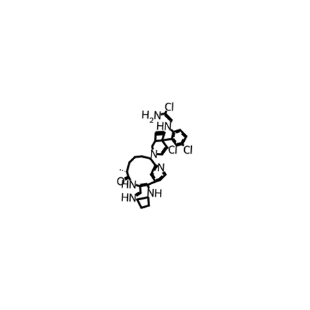 C[C@@H]1CCC[C@H](N2C=C(Cl)C3(c4cc(Cl)ccc4N/C=C(\N)Cl)C#CC3C2)c2cc(ccn2)/C(NC2CCC2)=C(/C=N)NC1=O